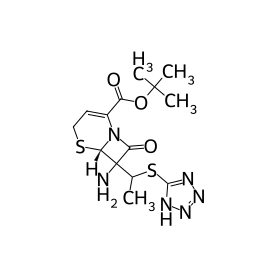 CC(Sc1nnn[nH]1)C1(N)C(=O)N2C(C(=O)OC(C)(C)C)=CCS[C@H]21